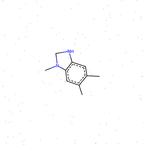 Cc1cc2c(cc1C)N(C)CN2